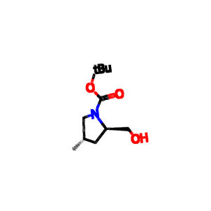 C[C@H]1C[C@H](CO)N(C(=O)OC(C)(C)C)C1